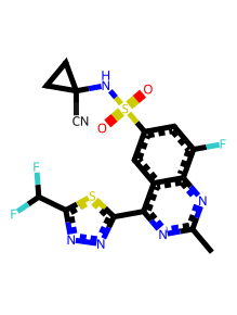 Cc1nc(-c2nnc(C(F)F)s2)c2cc(S(=O)(=O)NC3(C#N)CC3)cc(F)c2n1